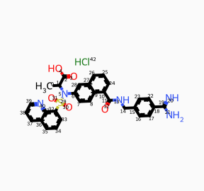 CC(C(=O)O)N(c1ccc2c(C(=O)NCc3ccc(C(=N)N)cc3)cccc2c1)S(=O)(=O)c1cccc2cccnc12.Cl